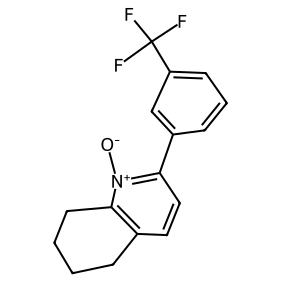 [O-][n+]1c(-c2cccc(C(F)(F)F)c2)ccc2c1CCCC2